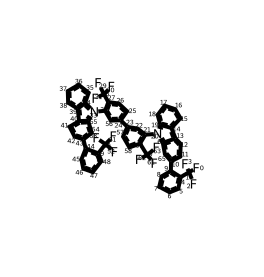 FC(F)(F)c1ccccc1-c1ccc2c3ccccc3n(-c3cc(-c4ccc(C(F)(F)F)c(-n5c6ccccc6c6ccc(-c7ccccc7C(F)(F)F)cc65)c4)ccc3C(F)(F)F)c2c1